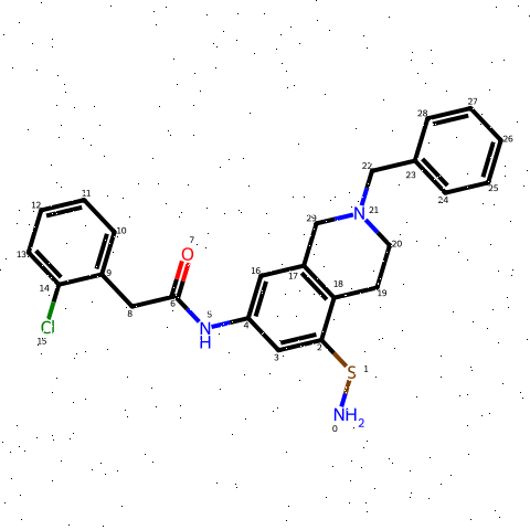 NSc1cc(NC(=O)Cc2ccccc2Cl)cc2c1CCN(Cc1ccccc1)C2